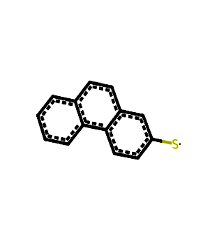 [S]c1ccc2c(ccc3ccccc32)c1